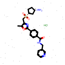 Cc1oc(-c2ccc(C(=O)NCc3cccnc3)cc2)nc1CS(=O)(=O)[C@@H]1CC[C@H](N)C1.Cl